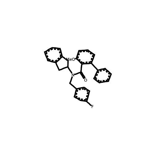 COc1cccc(-c2ccccc2)c1C(=O)N(Cc1ccc(F)cc1)C1Cc2ccccc2C1